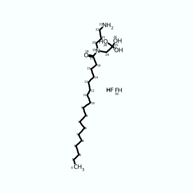 CCCCCCCCCCCCCCCCCC(=O)N(CCCN)CC(O)(O)O.F.F